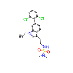 CC(C)Cn1cc(CCNS(=O)(=O)N(C)C)c2ccc(-c3c(Cl)cccc3Cl)cc21